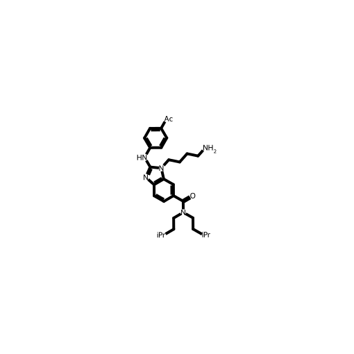 CC(=O)c1ccc(Nc2nc3ccc(C(=O)N(CCC(C)C)CCC(C)C)cc3n2CCCCN)cc1